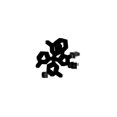 Cc1cccc(C(C2=C(c3ccccc3)[C]([Ti+3])=CC2)(c2cccc(C)c2)c2cccc(C)c2)c1.[Cl-].[Cl-].[Cl-]